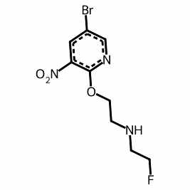 O=[N+]([O-])c1cc(Br)cnc1OCCNCCF